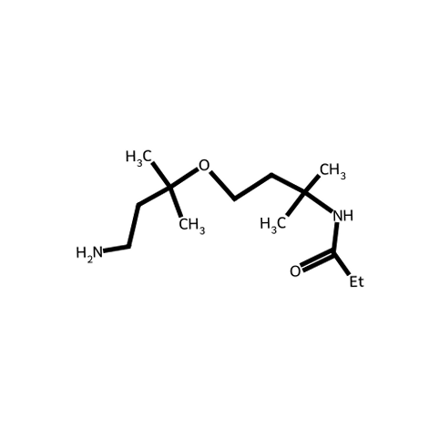 CCC(=O)NC(C)(C)CCOC(C)(C)CCN